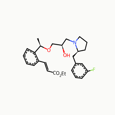 CCOC(=O)/C=C/c1ccccc1[C@@H](C)OC[C@H](O)CN1CCC[C@H]1Cc1cccc(F)c1